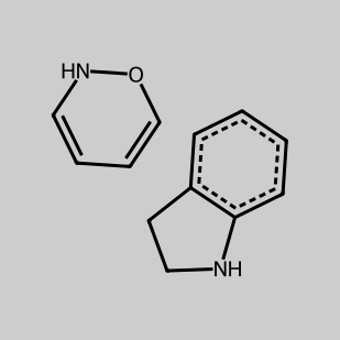 C1=CNOC=C1.c1ccc2c(c1)CCN2